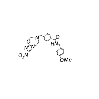 COc1ccc(CNC(=O)c2ccc(CN3CCOc4nc([N+](=O)[O-])cn4CC3)cc2)cc1